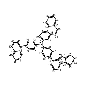 c1ccc2c(-c3ccc(N(c4ccc(-c5cccc6c5oc5ccccc56)cc4)c4ccc5c(ccc6ccccc65)c4)cc3)cccc2c1